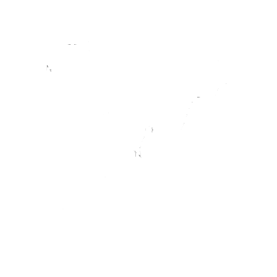 c1ccc(CON=C(COc2cccnc2)c2ccccc2)cc1